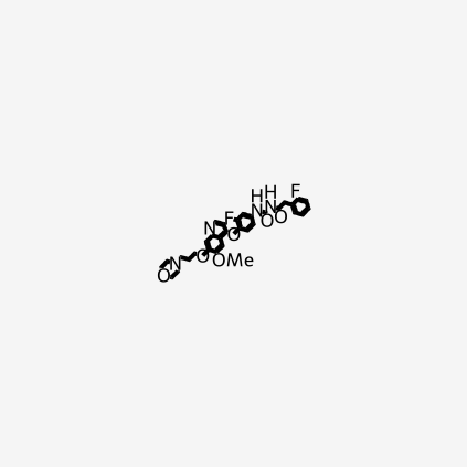 COc1cc2c(Oc3ccc(NC(=O)NC(=O)Cc4ccccc4F)cc3F)ccnc2cc1OCCCN1CCOCC1